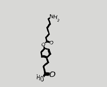 NCCCCCC(=O)Oc1ccc(CCC(=O)O)cc1